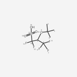 CC(C)(C)OC(C(F)(F)F)C(F)(F)S(=O)(=O)O